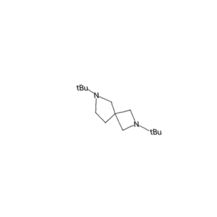 CC(C)(C)N1CCC2(C1)CN(C(C)(C)C)C2